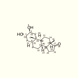 C[C@]12C[C@H](O)[C@@H](O)C[C@@H]1CC[C@@H]1[C@@H]2CC[C@]2(C)C(=O)CC[C@@H]12